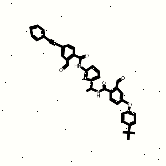 CC(NC(=O)c1ccc(Oc2ccc(C(C)(C)C)cc2)cc1C=O)c1cccc(NC(=O)c2ccc(C#Cc3ccccc3)cc2C=O)c1